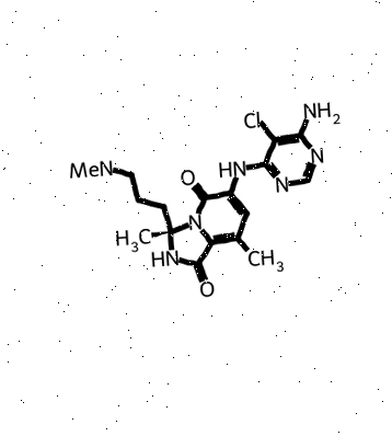 CNCCC[C@@]1(C)NC(=O)c2c(C)cc(Nc3ncnc(N)c3Cl)c(=O)n21